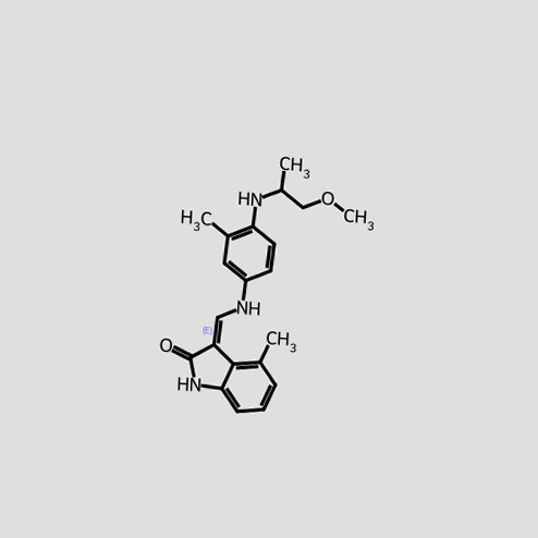 COCC(C)Nc1ccc(N/C=C2/C(=O)Nc3cccc(C)c32)cc1C